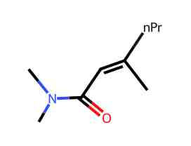 CCC/C(C)=C/C(=O)N(C)C